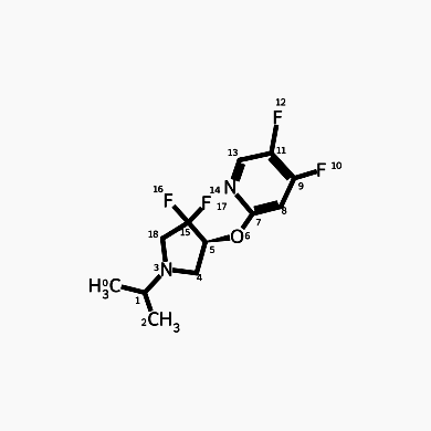 CC(C)N1C[C@H](Oc2cc(F)c(F)cn2)C(F)(F)C1